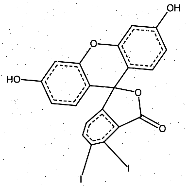 O=C1OC2(c3ccc(O)cc3Oc3cc(O)ccc32)c2ccc(I)c(I)c21